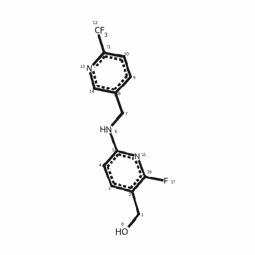 OCc1ccc(NCc2ccc(C(F)(F)F)nc2)nc1F